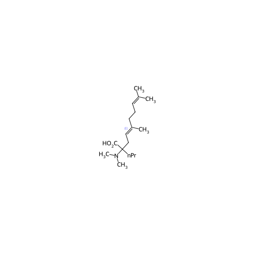 CCCC(C/C=C(\C)CCC=C(C)C)(C(=O)O)N(C)C